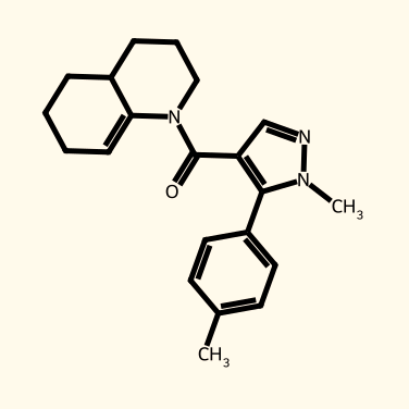 Cc1ccc(-c2c(C(=O)N3CCCC4CCCC=C43)cnn2C)cc1